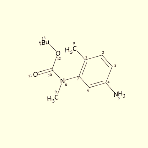 Cc1ccc(N)cc1N(C)C(=O)OC(C)(C)C